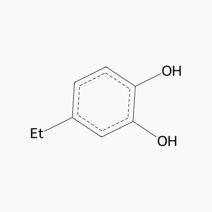 [CH]Cc1ccc(O)c(O)c1